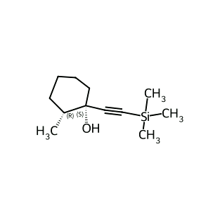 C[C@@H]1CCCC[C@@]1(O)C#C[Si](C)(C)C